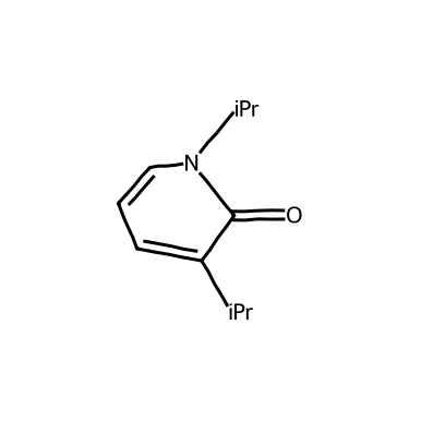 CC(C)c1cccn(C(C)C)c1=O